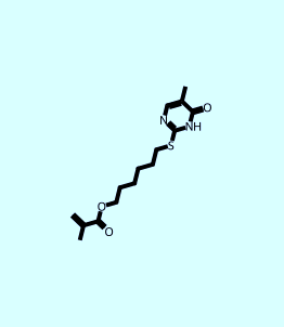 C=C(C)C(=O)OCCCCCCSc1ncc(C)c(=O)[nH]1